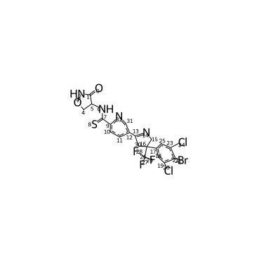 O=C1NOCC1NC(=S)c1ccc(C2=NCC(c3cc(Cl)c(Br)c(Cl)c3)(C(F)(F)F)C2)cn1